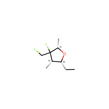 CC[C@H]1O[C@@H](C)C(F)(CF)[C@H]1C